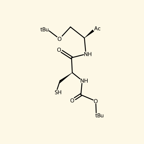 CC(=O)[C@H](COC(C)(C)C)NC(=O)[C@H](CS)NC(=O)OC(C)(C)C